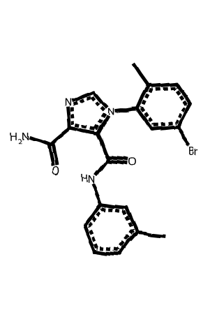 Cc1cccc(NC(=O)c2c(C(N)=O)ncn2-c2cc(Br)ccc2C)c1